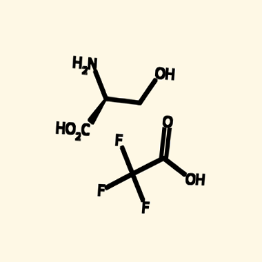 N[C@@H](CO)C(=O)O.O=C(O)C(F)(F)F